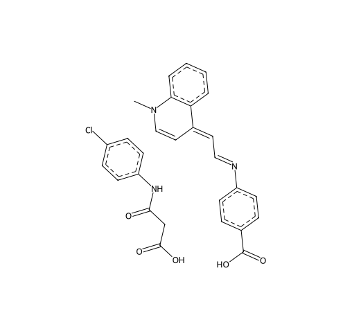 CN1C=CC(=CC=Nc2ccc(C(=O)O)cc2)c2ccccc21.O=C(O)CC(=O)Nc1ccc(Cl)cc1